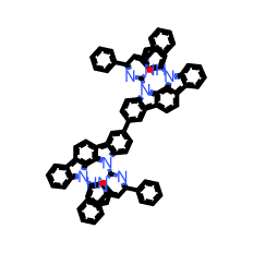 C1=C(c2ccccc2)NC(n2c3ccc(-c4ccc5c(c4)c4ccc6c7ccccc7n(-c7ccccc7)c6c4n5C4N=C(c5ccccc5)C=C(c5ccccc5)N4)cc3c3ccc4c5ccccc5n(-c5ccccc5)c4c32)N=C1c1ccccc1